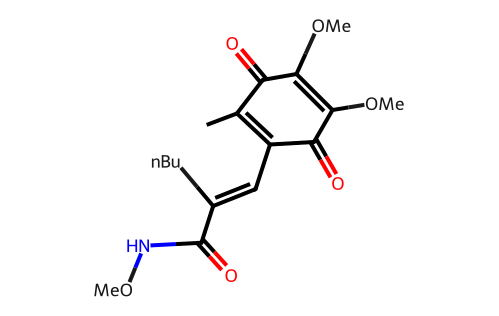 CCCCC(=CC1=C(C)C(=O)C(OC)=C(OC)C1=O)C(=O)NOC